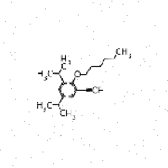 C#Cc1cc(C(C)C)cc(C(C)C)c1OCCCCCC